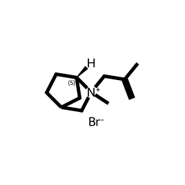 C=C(C)C[N+]1(C)CC2CC[C@H]1C2.[Br-]